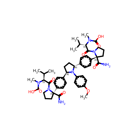 COc1ccc(N2[C@@H](c3ccc([C@]4(C(N)=O)CCCN4C(=O)[C@H](C(C)C)N(C)C(=O)O)cc3)CC[C@@H]2c2ccc([C@]3(C(N)=O)CCCN3C(=O)[C@H](C(C)C)N(C)C(=O)O)cc2)cc1